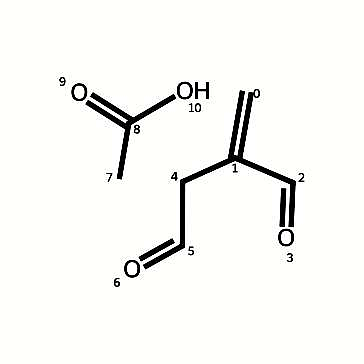 C=C(C=O)CC=O.CC(=O)O